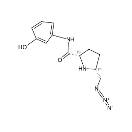 [N-]=[N+]=NC[C@H]1CC[C@@H](C(=O)Nc2cccc(O)c2)N1